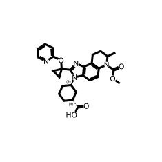 COC(=O)N1c2ccc3c(nc(C4(Oc5ccccn5)CC4)n3[C@@H]3CCC[C@@H](C(=O)O)C3)c2CCC1C